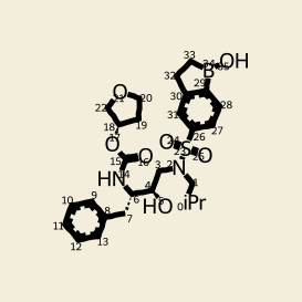 CC(C)CN(C[C@@H](O)[C@H](Cc1ccccc1)NC(=O)O[C@H]1CCOC1)S(=O)(=O)c1ccc2c(c1)CCB2O